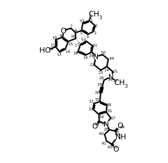 Cc1cccc(C2COc3cc(O)ccc3[C@H]2c2ccc(N3CCC(CN(C)CC#Cc4ccc5c(c4)CN(C4CCC(=O)NC4=O)C5=O)CC3)cc2)c1